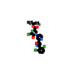 CC(C)OC(=O)CCN(C(=O)C(Cl)Cl)c1ccnc(-c2cc(-c3c(Cl)cccc3Cl)no2)c1